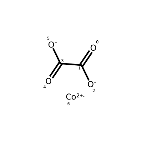 O=C([O-])C(=O)[O-].[Co+2]